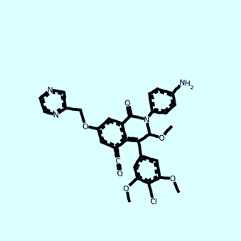 COc1cc(C2=c3c(cc(OCc4cnccn4)cc3=C=O)C(=O)N(c3ccc(N)cc3)C2OC)cc(OC)c1Cl